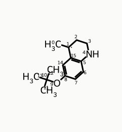 C[C]1CCNc2ccc(OC(C)(C)C)cc21